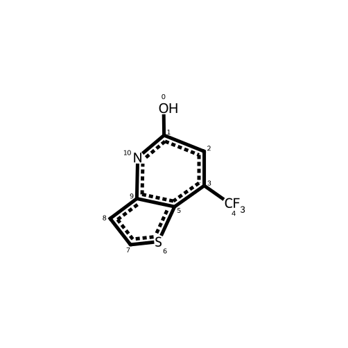 Oc1cc(C(F)(F)F)c2sccc2n1